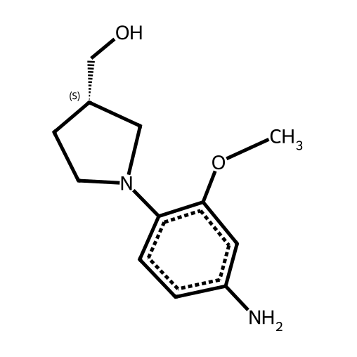 COc1cc(N)ccc1N1CC[C@H](CO)C1